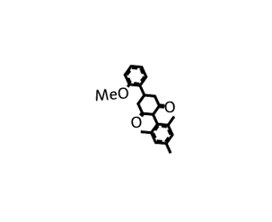 COc1ccccc1C1CC(=O)C(c2c(C)cc(C)cc2C)C(=O)C1